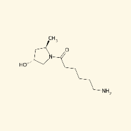 C[C@@H]1C[C@@H](O)CN1C(=O)CCCCCN